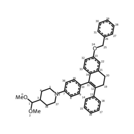 COC(OC)C1CCN(c2ccc(C3=C(c4ccccc4)CCc4cc(OCc5ccccc5)ccc43)cc2)CC1